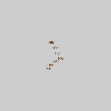 Br.Br.Br.Br.Br.Br.[Re]